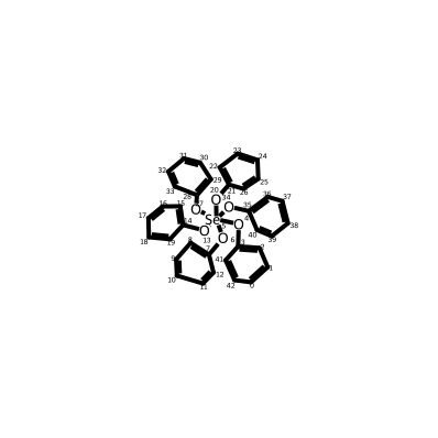 c1ccc(O[Se](Oc2ccccc2)(Oc2ccccc2)(Oc2ccccc2)(Oc2ccccc2)Oc2ccccc2)cc1